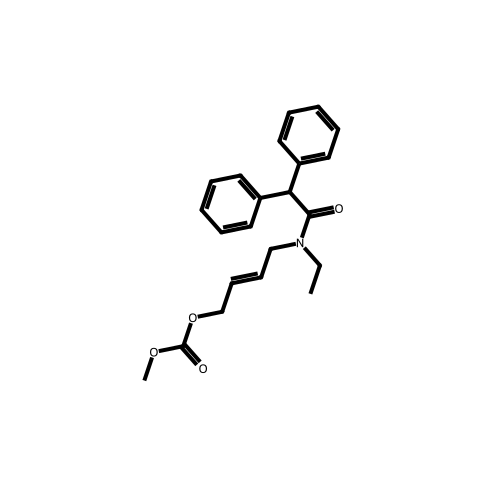 CCN(CC=CCOC(=O)OC)C(=O)C(c1ccccc1)c1ccccc1